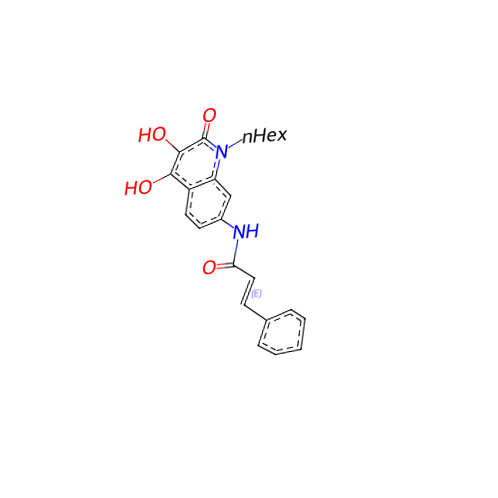 CCCCCCn1c(=O)c(O)c(O)c2ccc(NC(=O)/C=C/c3ccccc3)cc21